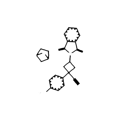 C#CC1(c2ccc(OC)cc2)CC(N2C(=O)c3ccccc3C2=O)C1.C1CC2CC1O2